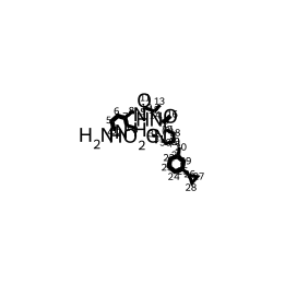 Cc1nc(N)ccc1CNC(=O)C(C)NC(=O)[C@H]1C[C@H](Cc2cccc(C3CC3)c2)CN1C(=O)O